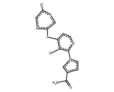 NC(=O)c1ccn(-c2nccc(Sc3cnc(Cl)cn3)c2Cl)c1